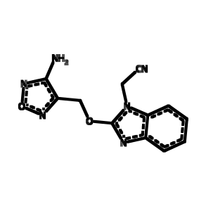 N#CCn1c(OCc2nonc2N)nc2ccccc21